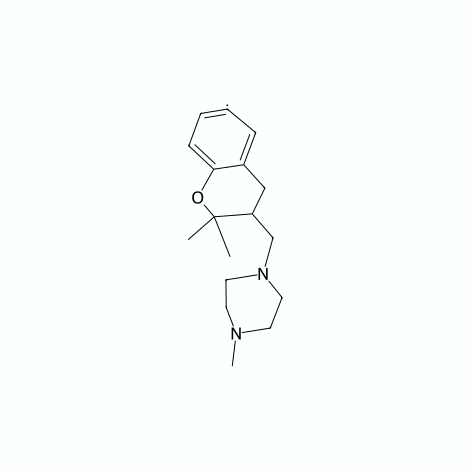 CN1CCN(CC2Cc3c[c]ccc3OC2(C)C)CC1